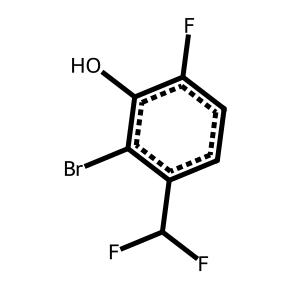 Oc1c(F)ccc(C(F)F)c1Br